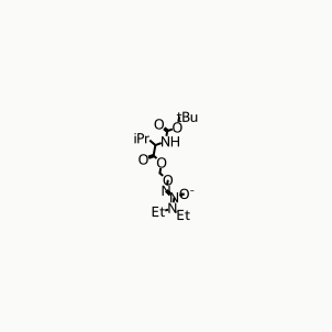 CCN(CC)/[N+]([O-])=N/OCOC(=O)C(NC(=O)OC(C)(C)C)C(C)C